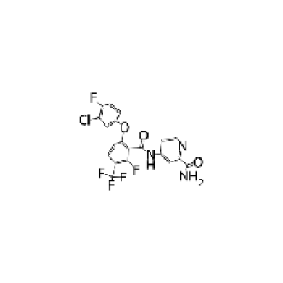 NC(=O)c1cc(NC(=O)c2c(Oc3ccc(F)c(Cl)c3)ccc(C(F)(F)F)c2F)ccn1